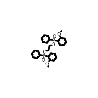 COc1ccccc1P(=O)(OCCOP(=O)(c1ccccc1)c1ccccc1OC)c1ccccc1